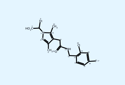 CCC(C(=O)O)n1nc(C)c(CC(=O)NCc2ccc(F)cc2Cl)c1C